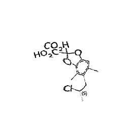 Cc1cc2c(c(C)c1C[C@H](C)Cl)OC(C(=O)O)(C(=O)O)O2